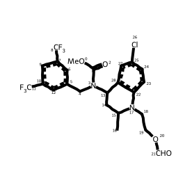 COC(=O)N(Cc1cc(C(F)(F)F)cc(C(F)(F)F)c1)C1CC(C)N(CCOC=O)c2ccc(Cl)cc21